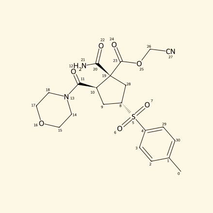 Cc1ccc(S(=O)(=O)[C@@H]2C[C@@H](C(=O)N3CCOCC3)[C@](C(N)=O)(C(=O)OCC#N)C2)cc1